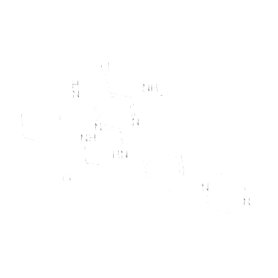 C=CC(=O)Nc1ccccc1Nc1nc(Nc2ccc(N3CCN(C)CC3)cc2)nc(N)c1Cl